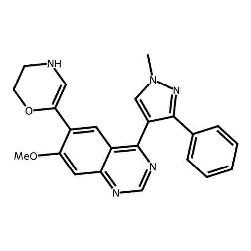 COc1cc2ncnc(-c3cn(C)nc3-c3ccccc3)c2cc1C1=CNCCO1